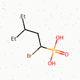 CCC(CC)CC(Br)P(=O)(O)O